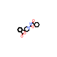 O=C1OC2(CCN(C3=NC(=O)C4(CCCCC4)O3)CC2)c2ccccc21